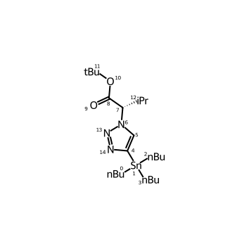 CCC[CH2][Sn]([CH2]CCC)([CH2]CCC)[c]1cn([C@H](C(=O)OC(C)(C)C)C(C)C)nn1